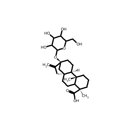 C=C1C[C@@]23CCC4[C@](C)(C(=O)O)CCC[C@@]4(C)[C@@H]2CC[C@]1(OC1OC(CO)C(O)C(O)C1O)C3